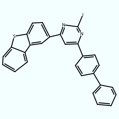 Ic1nc(-c2ccc(-c3ccccc3)cc2)cc(-c2ccc3sc4ccccc4c3c2)n1